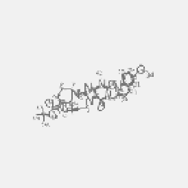 CC#CCn1c(N2CCC[C@@H](NC(=O)OC(C)(C)C)C2)nc2c1c(=O)n(Cc1ccc3cc(OC)ccc3n1)c(=O)n2C